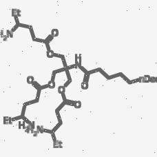 CCCCCCCCCCCCCCC(=O)NC(COC(=O)CCC(N)CC)(COC(=O)CCC(N)CC)COC(=O)CCC(N)CC